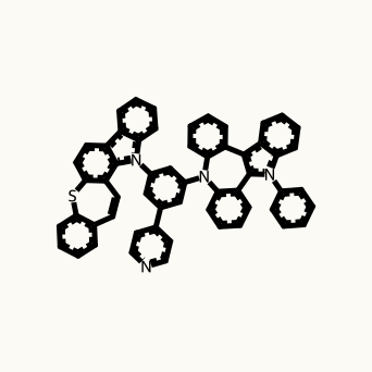 C1=Cc2c(ccc3c4ccccc4n(-c4cc(-c5ccncc5)cc(N5c6ccccc6-c6c(n(-c7ccccc7)c7ccccc67)-c6ccccc65)c4)c23)Sc2ccccc21